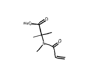 C=CC(=O)N(C)C(C)(C)C(=O)OC